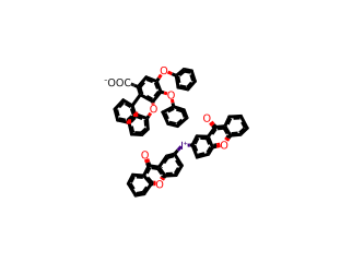 O=C([O-])c1cc(Oc2ccccc2)c(Oc2ccccc2)c(Oc2ccccc2)c1-c1ccccc1.O=c1c2ccccc2oc2ccc([I+]c3ccc4oc5ccccc5c(=O)c4c3)cc12